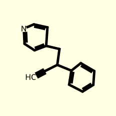 C#CC(Cc1ccncc1)c1ccccc1